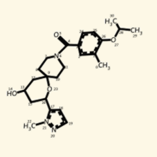 Cc1cc(C(=O)N2CCC3(CC2)CC(O)CC(c2ccnn2C)O3)ccc1OC(C)C